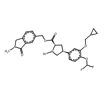 CC(=O)N1C[C@H](c2ccc(OC(F)F)c(OCC3CC3)c2)C[C@@H]1C(=O)OCc1ccc2c(c1)C(=O)N(C)C2